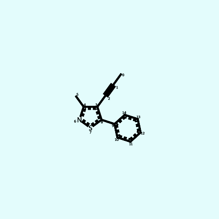 CC#Cc1c(C)nsc1-c1ccccc1